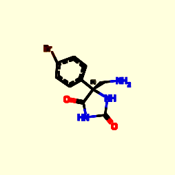 NC[C@@]1(c2ccc(Br)cc2)NC(=O)NC1=O